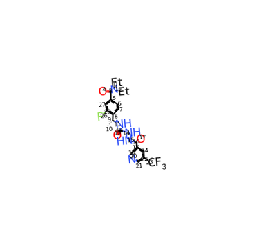 CCN(CC)C(=O)c1ccc([C@@H](C)NC(=O)NNC(=O)c2cncc(C(F)(F)F)c2)c(F)c1